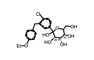 CCOc1ccc(Cc2cc(C3(O)OC(CO)[C@@H](O)[C@H](O)[C@H]3O)ccc2Cl)cc1